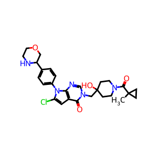 CC1(C(=O)N2CCC(O)(Cn3cnc4c(cc(Cl)n4-c4ccc(C5COCCN5)cc4)c3=O)CC2)CC1